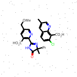 COCc1cnc(C2=NC(C)(C(C)C)C(=O)N2)c(C(=O)O)c1.Cc1cnc2c(C(=O)O)c(Cl)ccc2c1